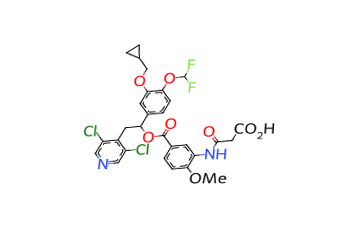 COc1ccc(C(=O)OC(Cc2c(Cl)cncc2Cl)c2ccc(OC(F)F)c(OCC3CC3)c2)cc1NC(=O)CC(=O)O